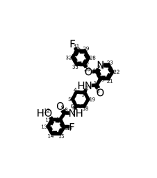 O=C(NC1CCC(NC(=O)c2c(O)cccc2F)CC1)c1cccnc1Oc1ccc(F)cc1